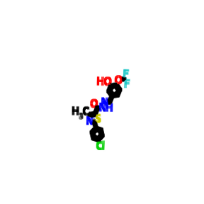 Cc1nc(-c2ccc(Cl)cc2)sc1C(=O)N/N=C/c1ccc(OC(F)F)c(O)c1